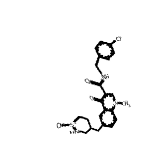 Cn1cc(C(=O)NCc2ccc(Cl)cc2)c(=O)c2cc(CC3CC[S+]([O-])NC3)ccc21